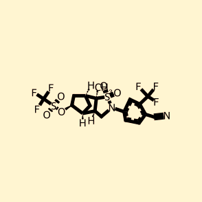 C[C@@]12[C@H]3C[C@H]([C@@H](OS(=O)(=O)C(F)(F)F)C3)[C@@H]1CN(c1ccc(C#N)c(C(F)(F)F)c1)S2(=O)=O